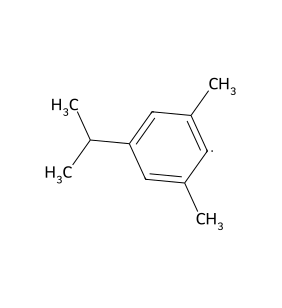 Cc1[c]c(C)cc(C(C)C)c1